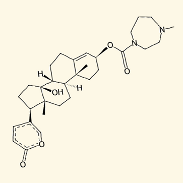 CN1CCCN(C(=O)O[C@@H]2C=C3CC[C@@H]4[C@H](CC[C@]5(C)[C@@H](c6ccc(=O)oc6)CC[C@]45O)[C@@]3(C)CC2)CC1